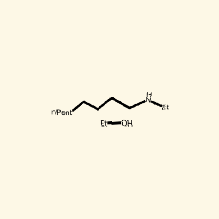 CCCCCCCCCNCC.CCO